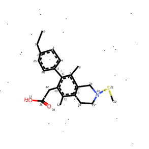 CCc1ccc(-c2c(C)c3c(c(C)c2CC(=O)O)CCN(SC)C3)cc1